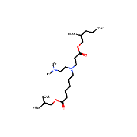 CCCCCCCCCCCCC(CCCCCCCCCC)COC(=O)CCN(CCCCCC(=O)OCC(CCCCCC)CCCCCCCC)CCN(CC)CCC